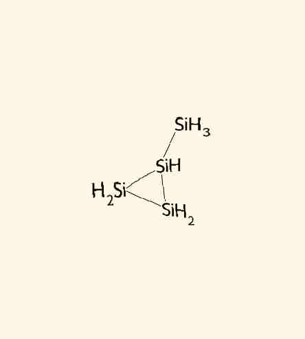 [SiH3][SiH]1[SiH2][SiH2]1